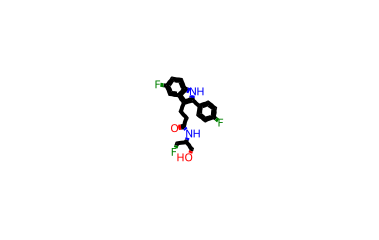 O=C(CCc1c(-c2ccc(F)cc2)[nH]c2ccc(F)cc12)NC(CO)CF